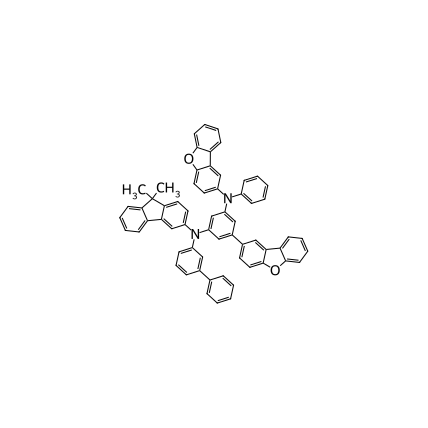 CC1(C)c2ccccc2-c2cc(N(c3cccc(-c4ccccc4)c3)c3cc(-c4ccc5oc6ccccc6c5c4)cc(N(c4ccccc4)c4ccc5oc6ccccc6c5c4)c3)ccc21